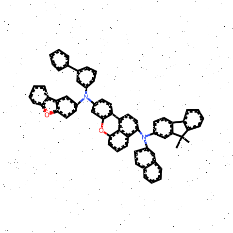 CC1(C)c2ccccc2-c2ccc(N(c3ccc4ccccc4c3)c3ccc4c5c(cccc35)Oc3cc(N(c5cccc(-c6ccccc6)c5)c5ccc6oc7ccccc7c6c5)ccc3-4)cc21